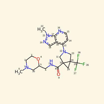 CN1CCOC(CNC(=O)C23CN(c4ccnc5c4cnn5C)CC2(C(F)(F)F)C3)C1